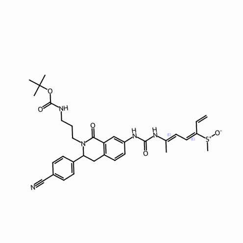 C=C/C(=C\C=C(/C)NC(=O)Nc1ccc2c(c1)C(=O)N(CCCNC(=O)OC(C)(C)C)C(c1ccc(C#N)cc1)C2)[S+](C)[O-]